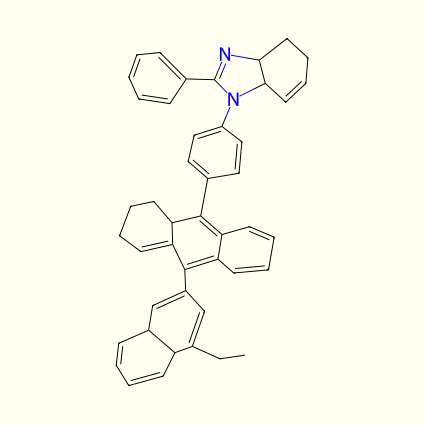 CCC1=CC(C2=c3ccccc3=C(c3ccc(N4C(c5ccccc5)=NC5CCC=CC54)cc3)C3CCCC=C23)=CC2C=CC=CC12